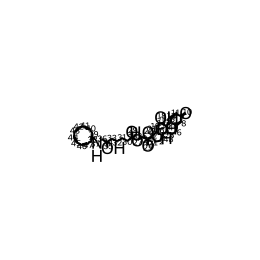 C[C@@H]1C[C@H]2[C@@H]3CCC4=CC(=O)C=C[C@]4(C)[C@@]3(F)[C@@H](O)C[C@]2(C)[C@@]1(O)C(=O)COC(=O)CCCCC(O)CNc1ccccccccc1